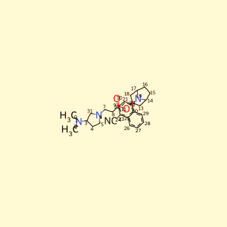 CN(C)C1CCN(CCC(=O)OC2CC3CCC(C2)N3c2ccc(C#N)c3ccccc23)C1